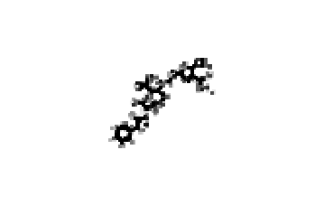 Cc1sc(SCSC2=C(C(=O)O)N3C(=O)[C@@H](NC(=O)Cc4ccccc4)[C@@H]3SC2)nc1C(N)=O